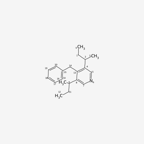 CCC(C)c1[c]ncc(C(C)CC)c1Cc1ccccc1